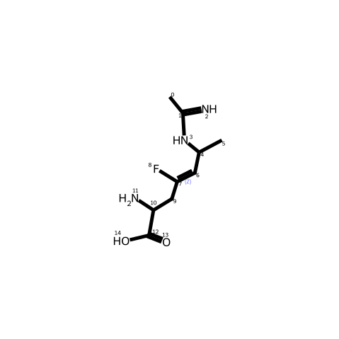 CC(=N)NC(C)/C=C(\F)CC(N)C(=O)O